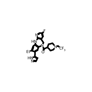 CCc1cc2c(cc1-c1ccn[nH]1)N(C(=O)C1CCN(CC(F)(F)F)CC1)Cc1cc(F)cnc1N2